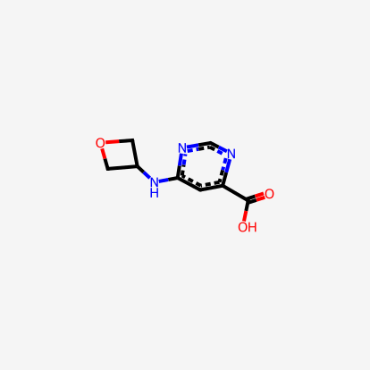 O=C(O)c1cc(NC2COC2)ncn1